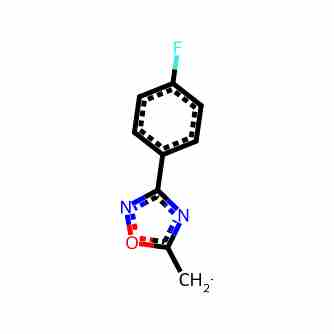 [CH2]c1nc(-c2ccc(F)cc2)no1